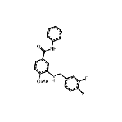 COc1ccc(C(=O)Nc2ccccc2)cc1NCc1ccc(F)c(F)c1